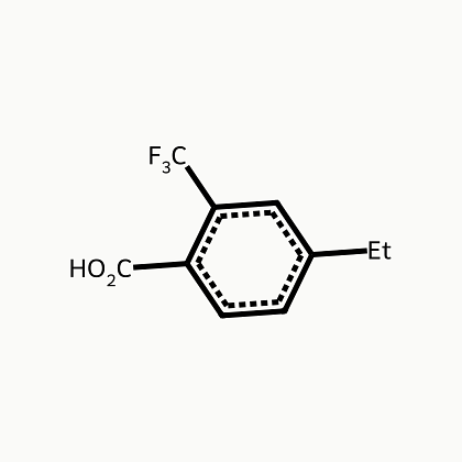 CCc1ccc(C(=O)O)c(C(F)(F)F)c1